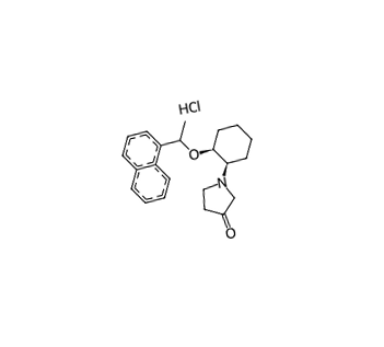 CC(O[C@H]1CCCC[C@H]1N1CCC(=O)C1)c1cccc2ccccc12.Cl